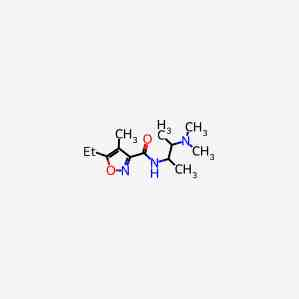 CCc1onc(C(=O)NC(C)C(C)N(C)C)c1C